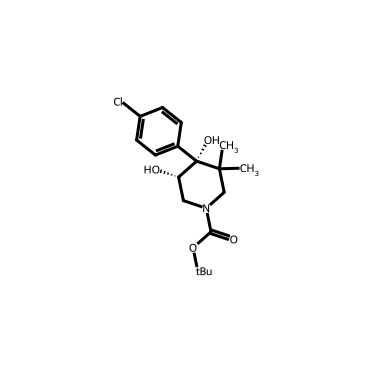 CC(C)(C)OC(=O)N1C[C@H](O)[C@@](O)(c2ccc(Cl)cc2)C(C)(C)C1